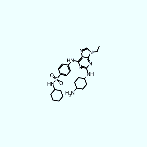 CCn1cnc2c(Nc3ccc(S(=O)(=O)NC4CCCCC4)cc3)nc(N[C@H]3CC[C@H](N)CC3)nc21